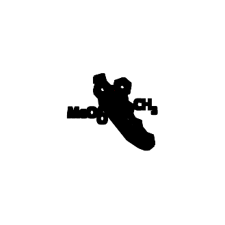 COC(=O)CCC[C@@]1(c2ccccc2)C23C4=C5C6Cc7c8c9c7cc7cc%10c%11c(c%12c%13c(c2c2c4c6c-8c4c2c%13c%11c7c94)C(=CC31C5C)C%12)C%10